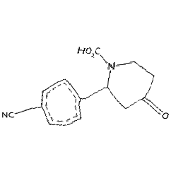 N#Cc1ccc(C2CC(=O)CCN2C(=O)O)cc1